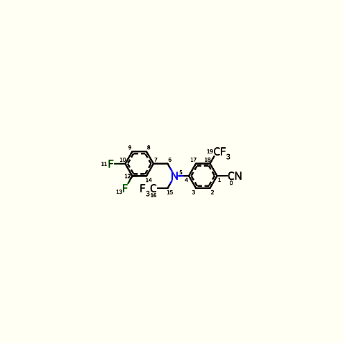 N#Cc1ccc(N(Cc2ccc(F)c(F)c2)CC(F)(F)F)cc1C(F)(F)F